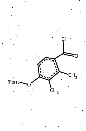 CCCC(C)Oc1ccc(C(=O)Cl)c(C)c1C